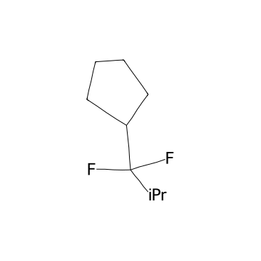 CC(C)C(F)(F)C1CCCC1